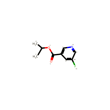 CC(C)OC(=O)c1cncc(F)c1